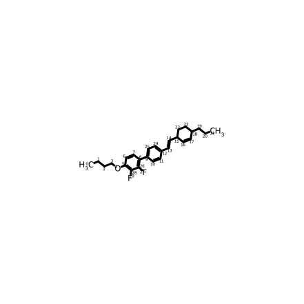 CCCCOc1ccc(-c2ccc(/C=C/C3C=CC(CCC)CC3)cc2)c(F)c1F